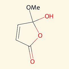 COC1(O)C=CC(=O)O1